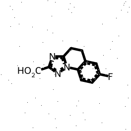 O=C(O)c1nc2n(n1)-c1ccc(F)cc1CC2